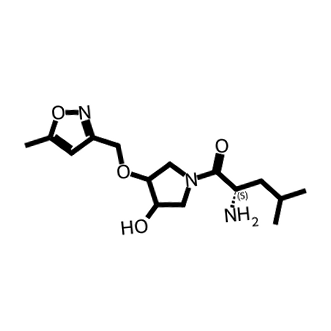 Cc1cc(COC2CN(C(=O)[C@@H](N)CC(C)C)CC2O)no1